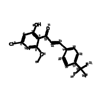 COc1nc(Cl)cc(O)c1C(=O)/C=C/c1ccc(C(F)(F)F)cc1